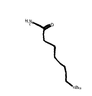 [CH2]CCCCCCCCC(N)=O